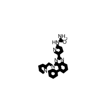 NC(=O)Nc1ccc(-c2nc(NCc3ccccn3)c3c(-c4ccccc4)cccc3n2)cn1